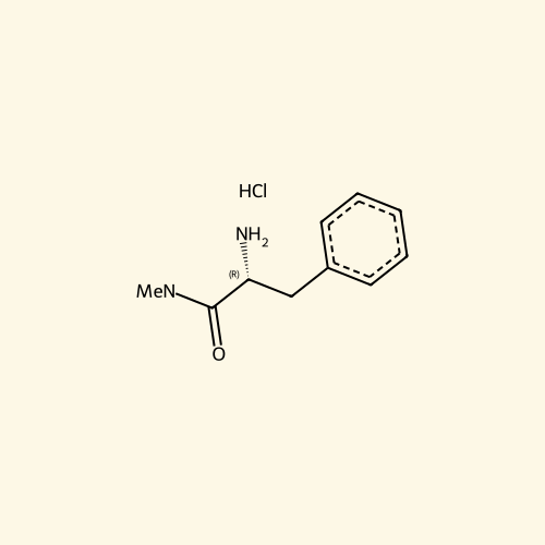 CNC(=O)[C@H](N)Cc1ccccc1.Cl